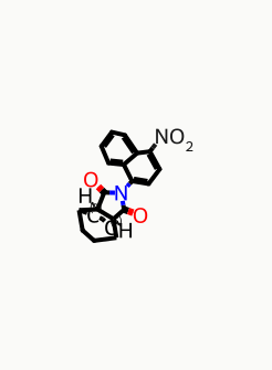 O=C1[C@@H]2C3CCCC(CC3)[C@@H]2C(=O)N1c1ccc([N+](=O)[O-])c2ccccc12